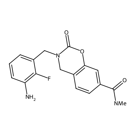 CNC(=O)c1ccc2c(c1)OC(=O)N(Cc1cccc(N)c1F)C2